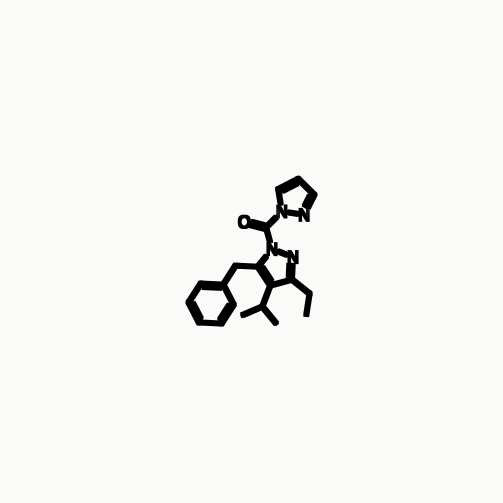 CCc1nn(C(=O)n2cccn2)c(Cc2ccccc2)c1C(C)C